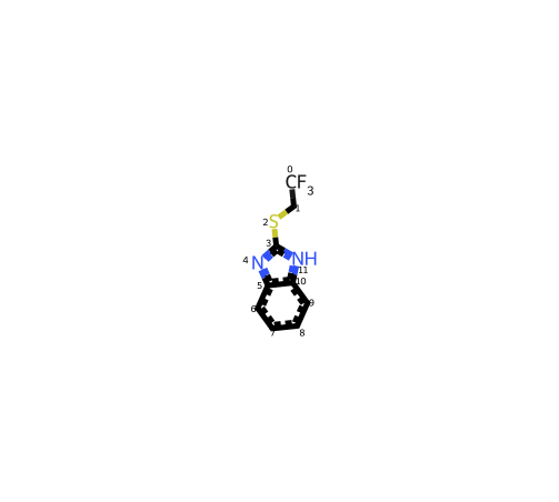 FC(F)(F)CSc1nc2ccccc2[nH]1